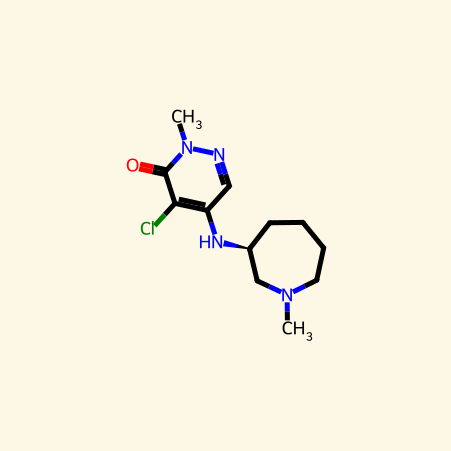 CN1CCCC[C@H](Nc2cnn(C)c(=O)c2Cl)C1